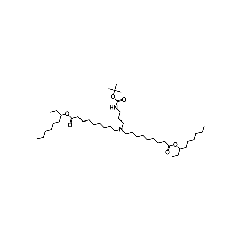 CCCCCCC(CC)OC(=O)CCCCCCCCN(CCCCCCCCC(=O)OC(CC)CCCCCC)CCCNC(=O)OC(C)(C)C